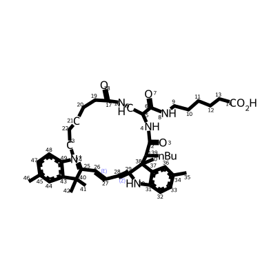 CCCCC1C(=O)NC(C(=O)NCCCCCC(=O)O)CNC(=O)CCCCC[N+]2=C(/C=C/C=C3\Nc4ccc(C)cc4C31C)C(C)(C)c1cc(C)ccc12